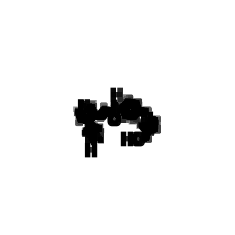 O=C(/C=C/c1cnccc1-c1cn[nH]c1)Nc1ccc(CN2CCC(CO)C2)cc1